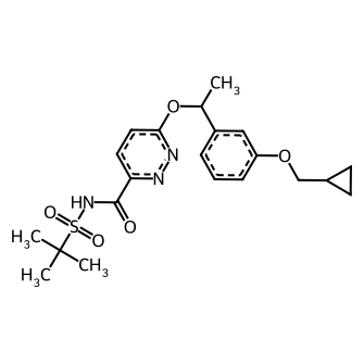 CC(Oc1ccc(C(=O)NS(=O)(=O)C(C)(C)C)nn1)c1cccc(OCC2CC2)c1